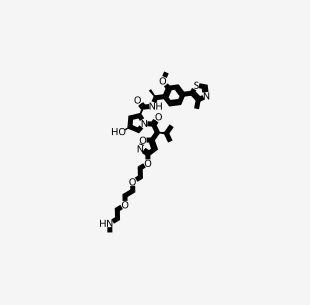 CNCCOCCOCCOc1cc([C@@H](C(=O)N2C[C@H](O)C[C@H]2C(=O)N[C@@H](C)c2ccc(-c3scnc3C)cc2OC)C(C)C)on1